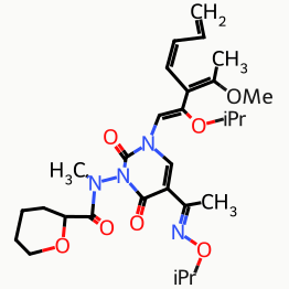 C=C\C=C/C(C(=C/n1cc(/C(C)=N/OC(C)C)c(=O)n(N(C)C(=O)C2CCCCO2)c1=O)/OC(C)C)=C(\C)OC